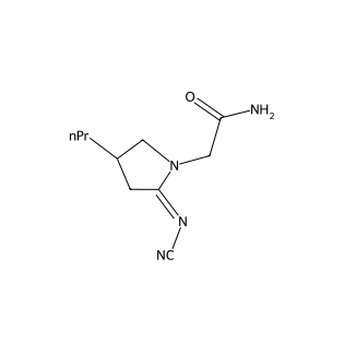 CCCC1C/C(=N\C#N)N(CC(N)=O)C1